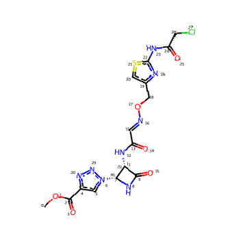 COC(=O)c1cn([C@H]2NC(=O)[C@H]2NC(=O)C=NOCc2csc(NC(=O)CCl)n2)nn1